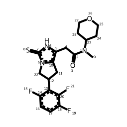 CN(C(=O)Cc1[nH]c(=S)n2c1CC(c1c(F)ccc(F)c1F)C2)C1CCOCC1